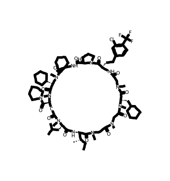 CC[C@H](C)[C@@H]1NC(=O)[C@H](CC(C)C)N(C)C(=O)C[C@@H](C(=O)N2CCCCC2)N(C)C(=O)[C@H](C2CCCCC2)N(C)C(=O)C2(CCCCC2)NC(=O)[C@@H]2CCCN2C(=O)[C@H](CCc2ccc(C(F)(F)F)c(Cl)c2)NC(=O)CN(C)C(=O)[C@H](CC2CCCCC2)N(C)C(=O)CN(C)C(=O)CN(C)C1=O